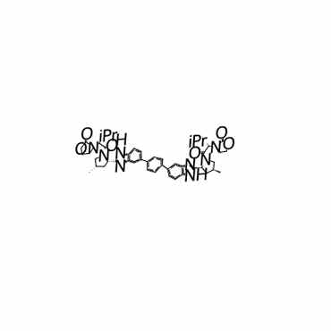 CC(C)[C@@H](C(=O)N1C[C@@H](C)C[C@H]1c1nc2cc(-c3ccc(-c4ccc5[nH]c([C@@H]6C[C@H](C)CN6C(=O)[C@H](C(C)C)N6CCOC6=O)nc5c4)cc3)ccc2[nH]1)N1CCOC1=O